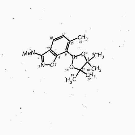 CNc1noc2c(B3OC(C)(C)C(C)(C)O3)c(C)ccc12